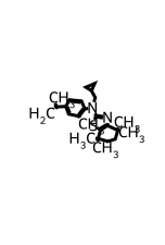 C=C(C)c1ccc(N(CC2CC2)c2nc3c(s2)C(C)(C)CCC3(C)C)c(C)c1